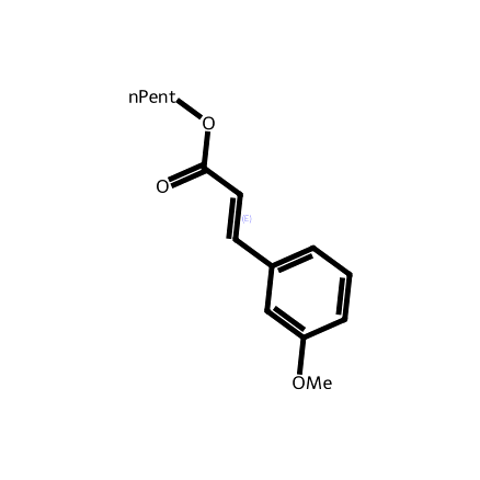 CCCCCOC(=O)/C=C/c1cccc(OC)c1